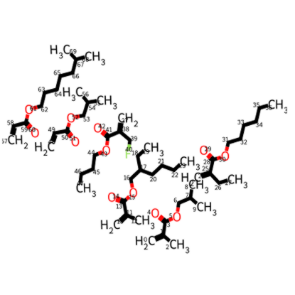 C=C(C)C(=O)OCC(C)C.C=C(C)C(=O)OCC(CC)CCCC.C=C(CC)C(=O)OCCCCCC.C=C(CF)C(=O)OCCCC.C=CC(=O)OCC(C)C.C=CC(=O)OCCCCCC(C)C